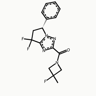 CC1(F)CN(C(=O)c2nc3n(n2)[C@@H](c2ccccc2)CC3(F)F)C1